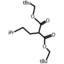 CC(C)CCC(C(=O)OCC(C)(C)C)C(=O)OCC(C)(C)C